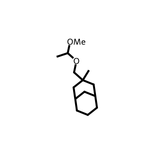 COC(C)OCC1(C)CC2CCCC(C2)C1